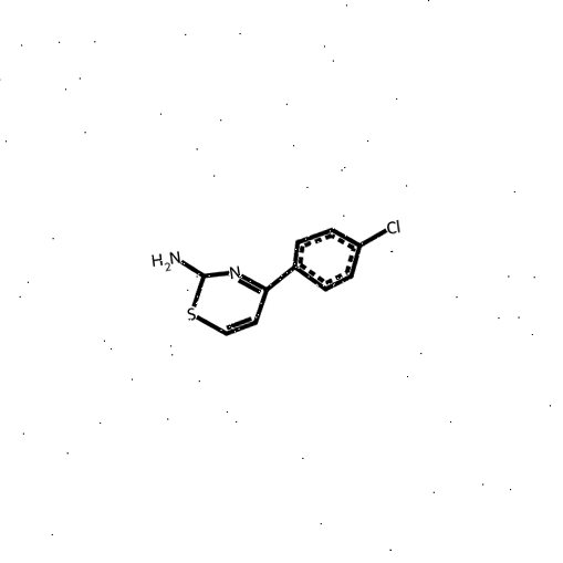 NC1N=C(c2ccc(Cl)cc2)C=CS1